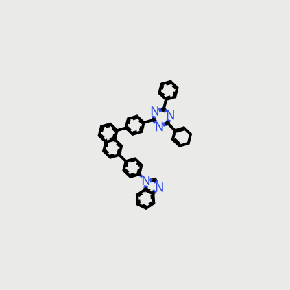 C1=CC(c2nc(-c3ccccc3)nc(-c3ccc(-c4cccc5ccc(-c6ccc(-n7cnc8ccccc87)cc6)cc45)cc3)n2)=CCC1